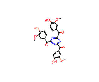 COc1cc(C(=O)c2nc(C(=O)c3ccc(O)c(OC)c3)nc(C(=O)c3ccc(O)c(OC)c3)n2)ccc1O